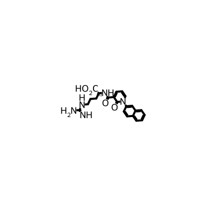 N=C(N)NCCC[C@H](NC(=O)c1cccn(-c2ccc3ccccc3c2)c1=O)C(=O)O